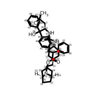 CC(C)C[C@@H](NC(=O)N[C@H]1CC[C@H](CCN2[C@@H]3CC[C@H]2CC(OC(=O)C(CO)c2ccccc2)C3)CC1)C(O)(c1ccccc1)c1ccccc1